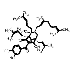 CC(C)=CCC/C(C)=C/C[C@H]1C[C@]2(CC=C(C)C)C(=O)[C@@](CC=C(C)C)(C(=O)C(C(=O)c3ccc(O)c(O)c3)=C2O)[C@]1(C)CCC=C(C)C